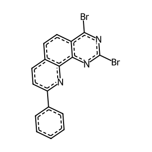 Brc1nc(Br)c2ccc3ccc(-c4ccccc4)nc3c2n1